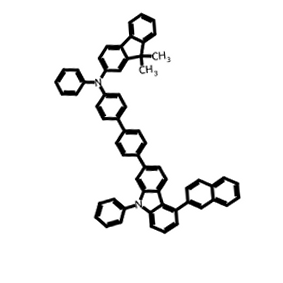 CC1(C)c2ccccc2-c2ccc(N(c3ccccc3)c3ccc(-c4ccc(-c5ccc6c7c(-c8ccc9ccccc9c8)cccc7n(-c7ccccc7)c6c5)cc4)cc3)cc21